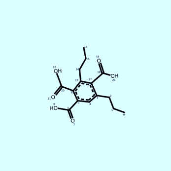 CCCc1cc(C(=O)O)c(C(=O)O)c(CCC)c1C(=O)O